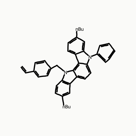 C=Cc1ccc(Cn2c3ccc(CCCC)cc3c3ccc4c(c5ccc(CCCC)cc5n4-c4ccccc4)c32)cc1